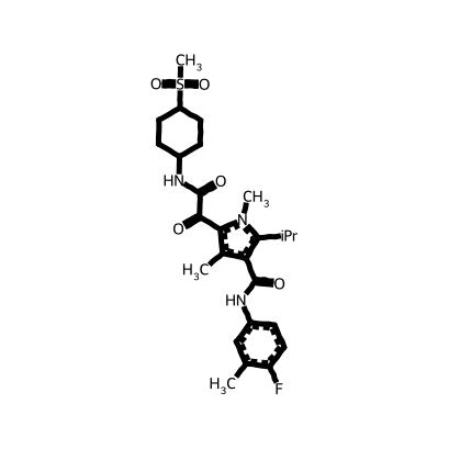 Cc1cc(NC(=O)c2c(C)c(C(=O)C(=O)NC3CCC(S(C)(=O)=O)CC3)n(C)c2C(C)C)ccc1F